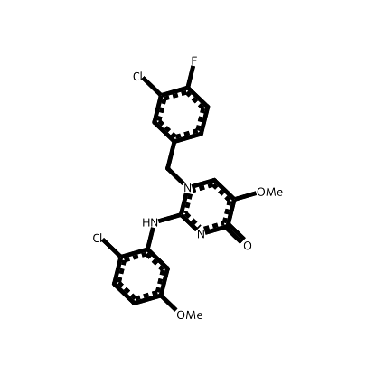 COc1ccc(Cl)c(Nc2nc(=O)c(OC)cn2Cc2ccc(F)c(Cl)c2)c1